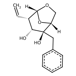 C=C[C@@H]1[C@@H]2OC[C@@H](O2)[C@](O)(Cc2ccccc2)[C@@H]1O